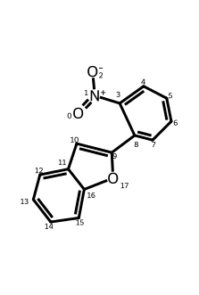 O=[N+]([O-])c1ccccc1-c1cc2ccccc2o1